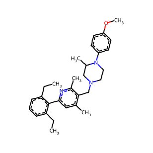 CCc1cccc(CC)c1-c1cc(C)c(CN2CCN(c3ccc(OC)cc3)C(C)C2)c(C)n1